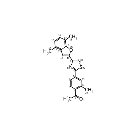 CC(=O)c1ccc(-c2nc(-c3cc4c(C)ccc(C)c4o3)ns2)cc1C